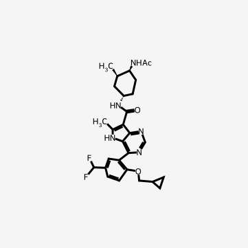 CC(=O)N[C@H]1CC[C@H](NC(=O)c2c(C)[nH]c3c(-c4cc(C(F)F)ccc4OCC4CC4)ncnc23)C[C@H]1C